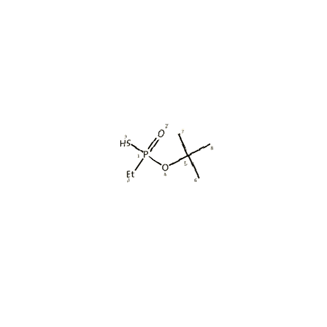 CCP(=O)(S)OC(C)(C)C